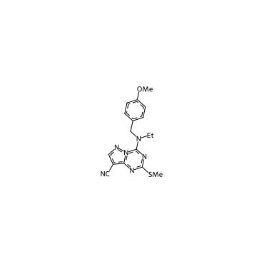 CCN(Cc1ccc(OC)cc1)c1nc(SC)nc2c(C#N)cnn12